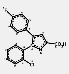 O=C(O)c1cc(-c2ccc(F)cc2)n(-c2ccccc2Cl)n1